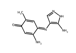 CC1=CC(=Nc2cn[nH]c2N)C(N)=CC1=O